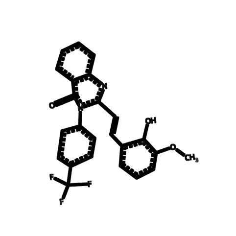 COc1cccc(C=Cc2nc3ccccc3c(=O)n2-c2ccc(C(F)(F)F)cc2)c1O